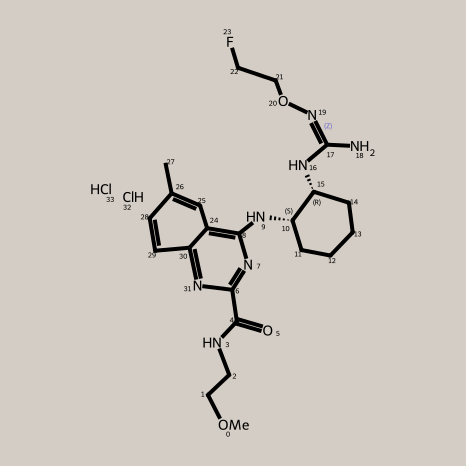 COCCNC(=O)c1nc(N[C@H]2CCCC[C@H]2N/C(N)=N\OCCF)c2cc(C)ccc2n1.Cl.Cl